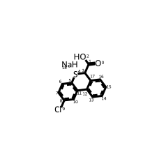 O=C(O)C1Sc2ccc(Cl)cc2-c2ccccc21.[NaH]